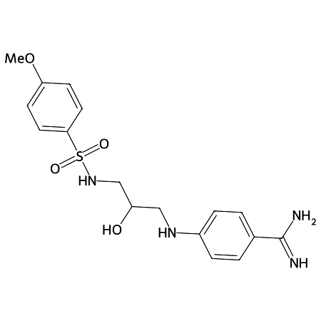 COc1ccc(S(=O)(=O)NCC(O)CNc2ccc(C(=N)N)cc2)cc1